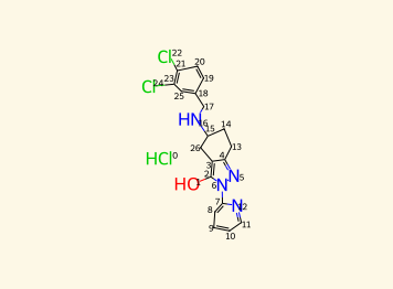 Cl.Oc1c2c(nn1-c1ccccn1)CCC(NCc1ccc(Cl)c(Cl)c1)C2